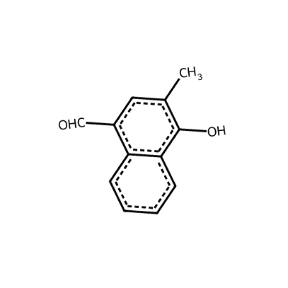 Cc1cc(C=O)c2ccccc2c1O